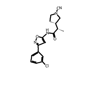 C[C@H](C(=O)Nc1cc(-c2cccc(Cl)c2)no1)[C@@H]1CCN(C#N)C1